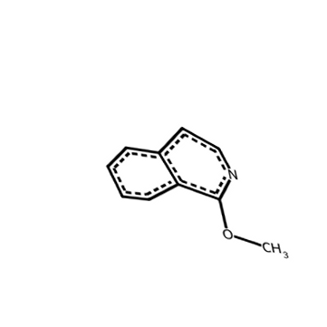 COc1nccc2ccccc12